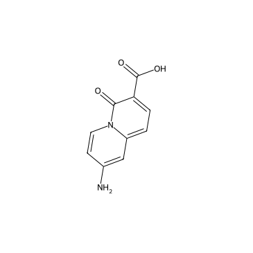 Nc1ccn2c(=O)c(C(=O)O)ccc2c1